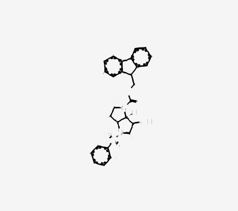 O=C(OCC1c2ccccc2-c2ccccc21)N1CCC2[C@H]1C(O)CN2S(=O)(=O)c1ccccc1